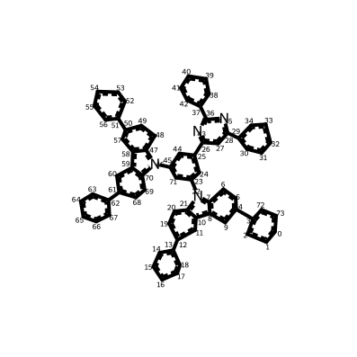 c1ccc(-c2ccc3c(c2)c2cc(-c4ccccc4)ccc2n3-c2cc(-c3cc(-c4ccccc4)nc(-c4ccccc4)n3)cc(-n3c4ccc(-c5ccccc5)cc4c4cc(-c5ccccc5)ccc43)c2)cc1